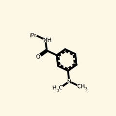 CC(C)NC(=O)c1cccc(N(C)C)c1